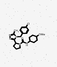 COC1CCC(NC(=O)N2CCCC2c2nnc(C)n2Cc2ccc(Cl)cc2)CC1